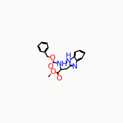 COC(=O)C(Cc1nc2ccccc2[nH]1)NC(=O)OCc1ccccc1